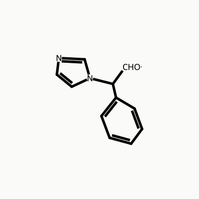 O=[C]C(c1ccccc1)n1ccnc1